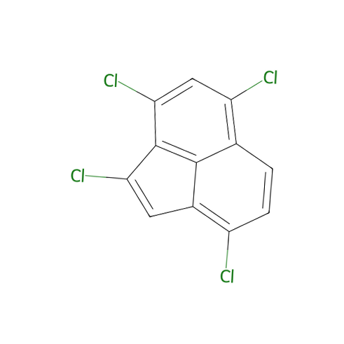 ClC1=Cc2c(Cl)ccc3c(Cl)cc(Cl)c1c23